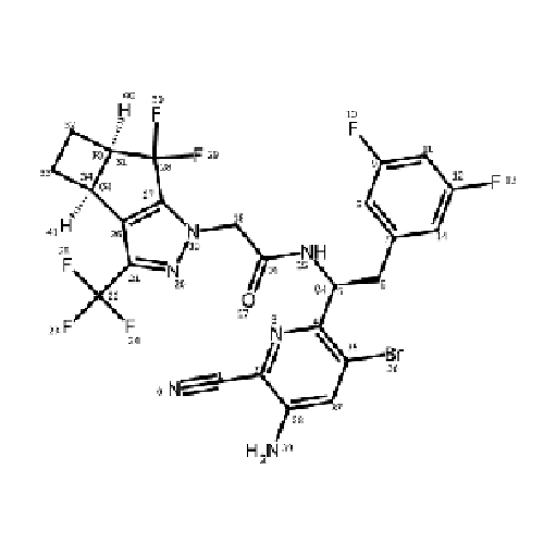 N#Cc1nc([C@H](Cc2cc(F)cc(F)c2)NC(=O)Cn2nc(C(F)(F)F)c3c2C(F)(F)[C@@H]2CC[C@H]32)c(Br)cc1N